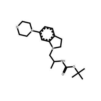 CC(CN1CCc2ccc(N3CCOCC3)cc21)NC(=O)OC(C)(C)C